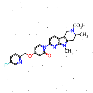 CC1Cc2c(c3ccc(-n4ccc(OCc5ccc(F)cn5)cc4=O)nc3n2C)CN1C(=O)O